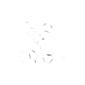 CCOc1ccc(-n2c([C@@H](C)N(CC3CCN(C(C)C)CC3)C(=O)Cc3ccc(F)c(C)c3)nc3c(c2=O)CCCN3C)cc1